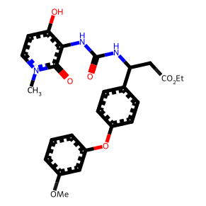 CCOC(=O)CC(NC(=O)Nc1c(O)ccn(C)c1=O)c1ccc(Oc2cccc(OC)c2)cc1